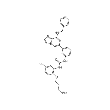 CNCCCOc1ccc(C(F)(F)F)cc1NC(=O)Nc1cccc(-c2cn3ccnc3c(NCc3ccncc3)n2)c1